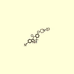 CC1(C)c2ccc(OC3CCN(C4COC4)CC3)cc2C(=O)c2c1[nH]c1cc(C#N)ccc21